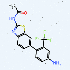 CC(=O)Nc1nc2ccc(-c3ccc(N)cc3C(F)(F)F)cc2s1